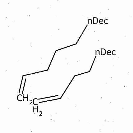 C=CCCCCCCCCCCCC.C=CCCCCCCCCCCCCC